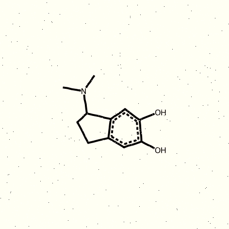 CN(C)C1CCc2cc(O)c(O)cc21